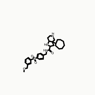 COCc1cccc(S(=O)(=O)c2ccc(CNC(=O)C3CC4(C5CCCCCCC5)CNCCC4N3)cc2)c1